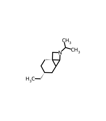 CC[C@@H]1CC[C@]23CN(C(C)C)C2C3C1